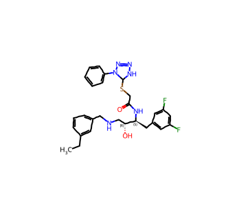 CCc1cccc(CNC[C@@H](O)[C@H](Cc2cc(F)cc(F)c2)NC(=O)CSC2NN=NN2c2ccccc2)c1